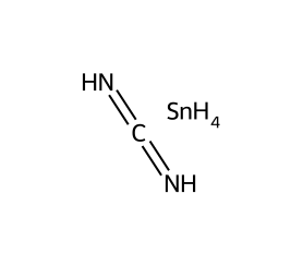 N=C=N.[SnH4]